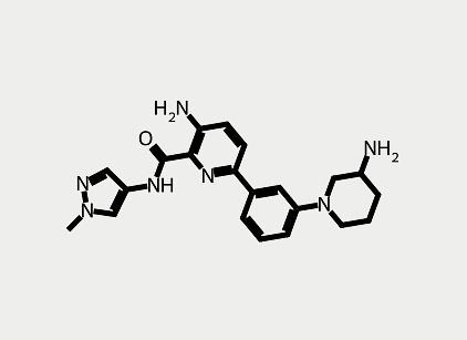 Cn1cc(NC(=O)c2nc(-c3cccc(N4CCCC(N)C4)c3)ccc2N)cn1